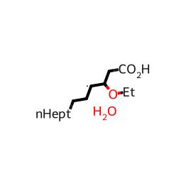 CCCCCCCCC[CH]C(CC(=O)O)OCC.O